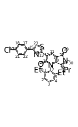 CCc1cccc(CC)c1-n1c2c(cc(-c3nc(-c4ccc(Cl)cc4)cs3)c1=O)C(=O)N(C)C2C(C)C